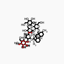 C=C1CC[C@@H]2C(COC3OC(CO)C(O)C(OC4OC(CO)C(O)C(O)C4O)C3OC3OC(CO)C(O)C(O)C3O)(CCC3[C@](C)(C(=O)OC4OC(CO)C(O)C(OC5OC(CO)C(O)C(O)C5O)C4OC4OC(CO)C(O)C(O)C4O)CCC[C@]32S)C1